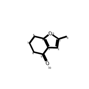 Cc1cc2c(o1)CCCC2=O